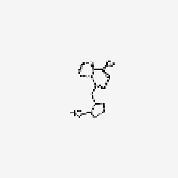 OC1CCCC1Cc1ccc(Br)c2ccccc12